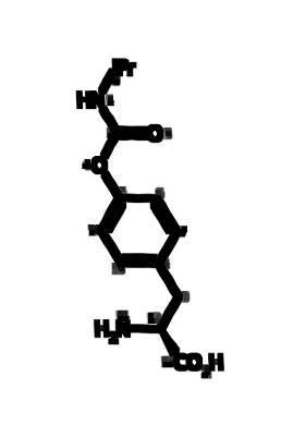 CC(C)NC(=O)Oc1ccc(C[C@H](N)C(=O)O)cc1